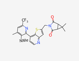 CNc1c(C)cc(C(F)(F)F)nc1-c1ccnc2cc(CN3C(=O)C4C(C3=O)C4(C)C)sc12